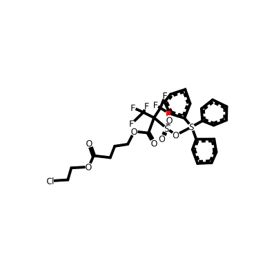 O=C(CCCOC(=O)C(C(F)(F)F)(C(F)(F)F)S(=O)(=O)OS(c1ccccc1)(c1ccccc1)c1ccccc1)OCCCl